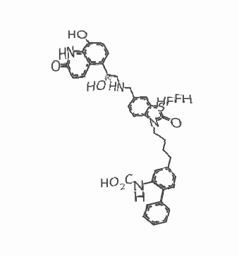 F.F.O=C(O)Nc1cc(CCCCn2c(=O)sc3cc(CNC[C@H](O)c4ccc(O)c5[nH]c(=O)ccc45)ccc32)ccc1-c1ccccc1